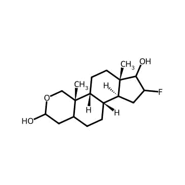 C[C@]12COC(O)CC1CC[C@@H]1[C@H]2CC[C@]2(C)C(O)C(F)C[C@@H]12